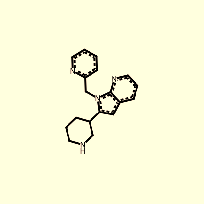 c1ccc(Cn2c(C3CCCNC3)cc3cccnc32)nc1